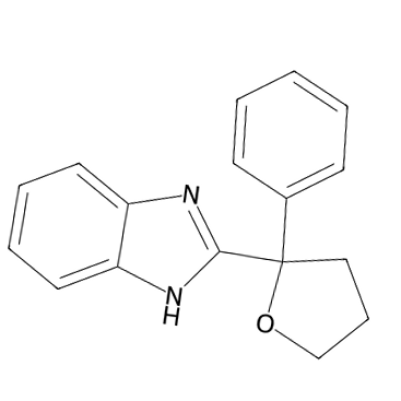 c1ccc(C2(c3nc4ccccc4[nH]3)CCCO2)cc1